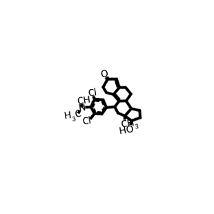 CN(C)c1c(Cl)cc(C2CC3(C)C(O)CCC3C3CCC4=CC(=O)CCC4=C23)cc1Cl